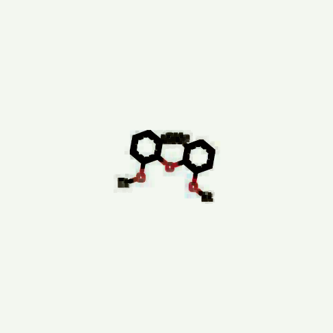 CCOc1cccc(OC)c1Oc1c(OC)cccc1OCC